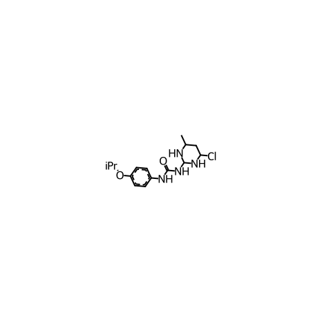 CC1CC(Cl)NC(NC(=O)Nc2ccc(OC(C)C)cc2)N1